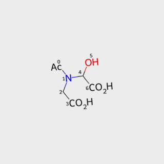 CC(=O)N(CC(=O)O)C(O)C(=O)O